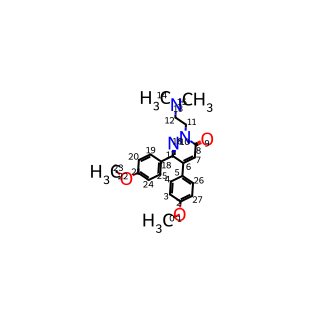 COc1ccc(-c2cc(=O)n(CCN(C)C)nc2-c2ccc(OC)cc2)cc1